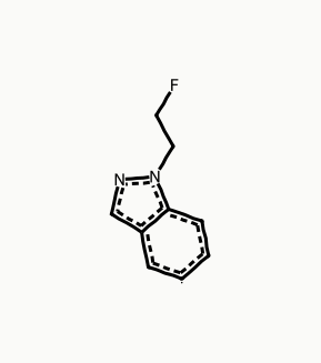 FCCn1ncc2c[c]ccc21